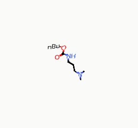 CCCCOC(=O)NCCCN(C)C